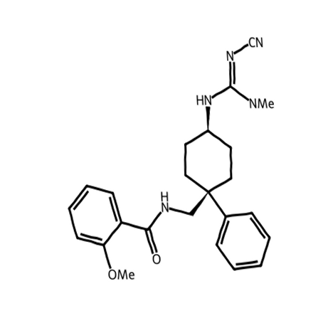 CN/C(=N\C#N)N[C@H]1CC[C@](CNC(=O)c2ccccc2OC)(c2ccccc2)CC1